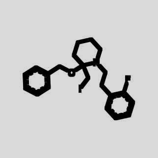 Fc1ccccc1CCN1CCCCC1(CI)OCc1ccccc1